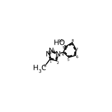 Cc1cn(-c2ccccc2O)nn1